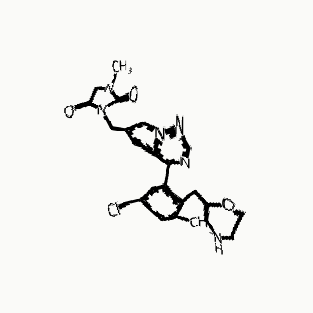 Cc1cc(Cl)cc(-c2ncnn3cc(CN4C(=O)CN(C)C4=O)cc23)c1CC1CNCCO1